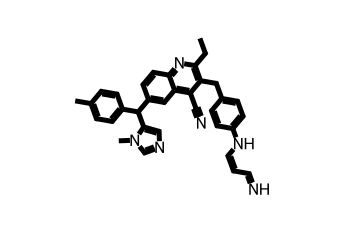 CCc1nc2ccc(C(c3ccc(C)cc3)c3cncn3C)cc2c(C#N)c1Cc1ccc(N/C=C\C=N)cc1